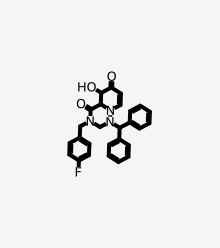 O=C1C=CN2C(C(=O)N(Cc3ccc(F)cc3)CN2C(c2ccccc2)c2ccccc2)C1O